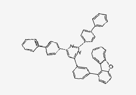 c1ccc(-c2ccc(-c3cc(-c4cccc(-c5cccc6oc7ccccc7c56)c4)nc(-c4ccc(-c5ccccc5)cc4)n3)cc2)cc1